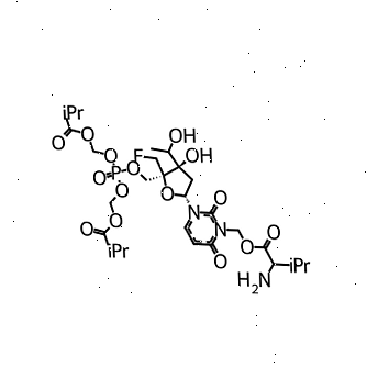 CC(C)C(=O)OCOP(=O)(OCOC(=O)C(C)C)OC[C@@]1(CF)O[C@@H](n2ccc(=O)n(COC(=O)C(N)C(C)C)c2=O)C[C@@]1(O)C(C)O